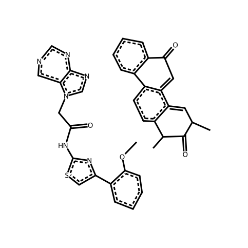 CC1C=c2c(ccc3c2=CC(=O)c2ccccc2-3)C(C)C1=O.COc1ccccc1-c1csc(NC(=O)Cn2cnc3ncncc32)n1